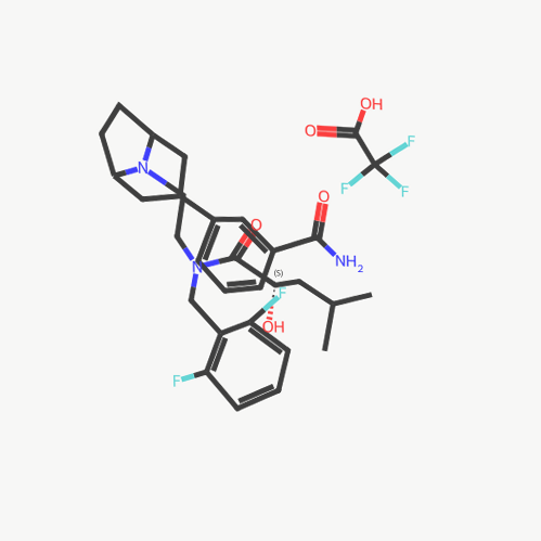 CC(C)C[C@H](O)C(=O)N(CCN1C2CCC1CC(c1cccc(C(N)=O)c1)C2)Cc1c(F)cccc1F.O=C(O)C(F)(F)F